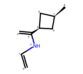 C=CNC(=C)[C@H]1C[C@@H](C)C1